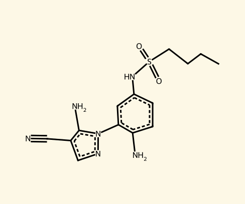 CCCCS(=O)(=O)Nc1ccc(N)c(-n2ncc(C#N)c2N)c1